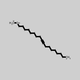 CCCCCCCCC#CCCCCCCCCOC